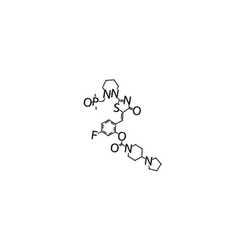 CP(C)(=O)CN1CCCCN1C1=NC(=O)/C(=C/c2ccc(F)cc2OC(=O)N2CCC(N3CCCC3)CC2)S1